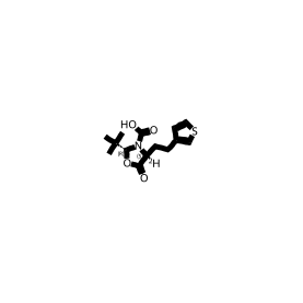 [2H][C@]1(CCc2ccsc2)C(=O)O[C@H](C(C)(C)C)N1C(=O)O